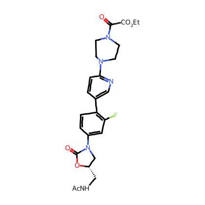 CCOC(=O)C(=O)N1CCN(c2ccc(-c3ccc(N4C[C@H](CNC(C)=O)OC4=O)cc3F)cn2)CC1